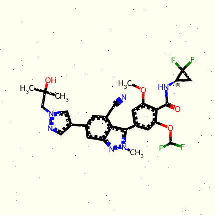 COc1cc(-c2c3c(C#N)cc(-c4cnn(CC(C)(C)O)c4)cc3nn2C)cc(OC(F)F)c1C(=O)N[C@@H]1CC1(F)F